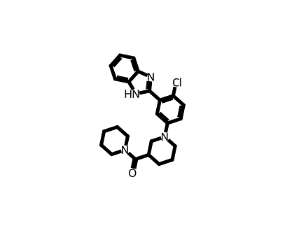 O=C(C1CCCN(c2ccc(Cl)c(-c3nc4ccccc4[nH]3)c2)C1)N1CCCCC1